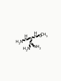 COCCNCCN(CCNCCN)CCN(CCN)CCN